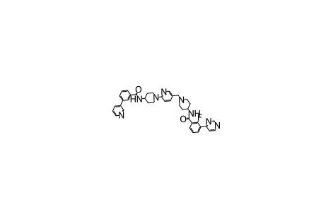 O=C(NC1CCN(c2ccc(CN3CCC(NC(=O)c4cccc(-c5ccncn5)c4F)CC3)cn2)CC1)c1cccc(-c2cccnc2)c1